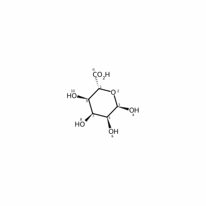 O=C(O)[C@@H]1O[C@@H](O)[C@@H](O)[C@@H](O)[C@H]1O